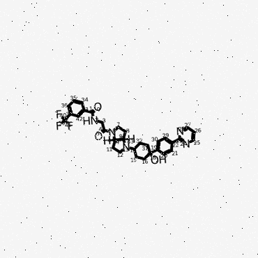 O=C(NCC(=O)N1CC[C@H]2[C@@H]1CCN2C1CCC(O)(c2ccc(-c3ncccn3)cc2)CC1)c1cccc(C(F)(F)F)c1